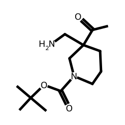 CC(=O)C1(CN)CCCN(C(=O)OC(C)(C)C)C1